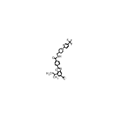 [C-]#[N+]c1cc(C(C)CC)c2oc(-c3ccc(C(=O)NCC4CCN(c5ccc(C(F)(F)F)cn5)CC4)cc3)nc2c1